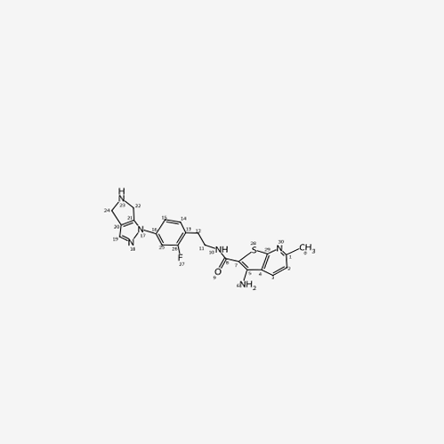 Cc1ccc2c(N)c(C(=O)NCCc3ccc(-n4ncc5c4CNC5)cc3F)sc2n1